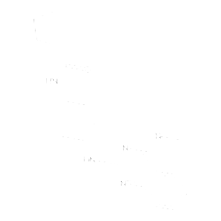 CN(C)c1nc(N[C@H]2CC[C@@H](NC(=O)C3CCCC3)CC2)nc2ccccc12